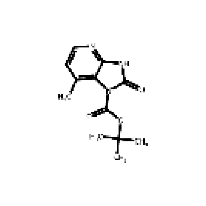 Cc1ccnc2[nH]c(=O)n(C(=O)OC(C)(C)C)c12